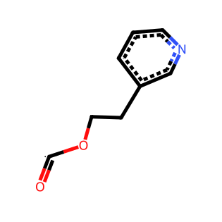 O=[C]OCCc1cccnc1